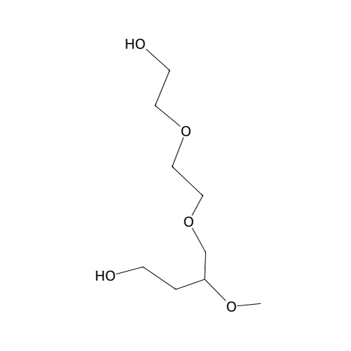 COC(CCO)COCCOCCO